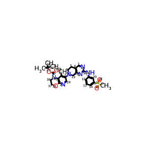 Cc1c(N2CCc3cnc(Nc4cccc(S(C)(=O)=O)c4)nc3C2)cnc2c1N(C(=O)OC(C)(C)C)CCO2